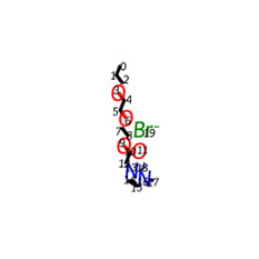 CCCOCCOCCOC(=O)C[n+]1ccn(C)c1.[Br-]